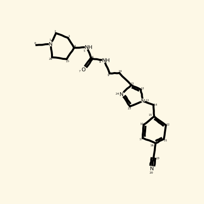 CN1CCC(NC(=O)NCCc2cn(Cc3ccc(C#N)cc3)cn2)CC1